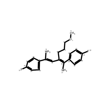 COCCCC(/C=C(\N)c1ccc(F)cc1)=C(/N)c1ccc(F)cc1